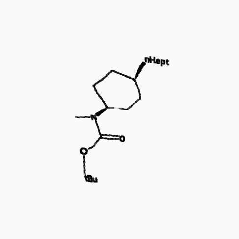 CCCCCCC[C@H]1CC[C@@H](N(C)C(=O)OC(C)(C)C)CC1